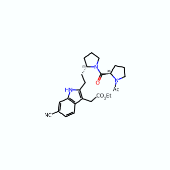 CCOC(=O)Cc1c(CC[C@@H]2CCCN2C(=O)[C@H]2CCCN2C(C)=O)[nH]c2cc(C#N)ccc12